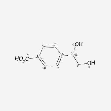 O=C(O)c1ccc([C@H](O)CO)cc1